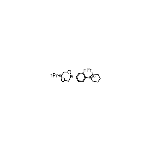 CCC[C@H]1CO[C@H](c2ccc([C@@H]3CCCC[C@H]3CCC)cc2)CO1